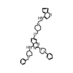 c1ccc(CN2CCC(Nc3nc(N4CCN(c5ccccc5)CC4)nc4cc(OCC5CCN(CCNc6ccnc7ccccc67)CC5)ccc34)CC2)cc1